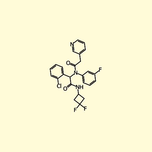 O=C(NC1CC(F)(F)C1)C(c1ccccc1Cl)N(C(=O)Cc1cccnc1)c1cccc(F)c1